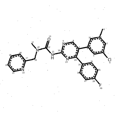 Cc1cc(Cl)cc(-c2cnc(NC(=O)N(C)Cc3ccccn3)nc2-c2ccc(F)cc2)c1